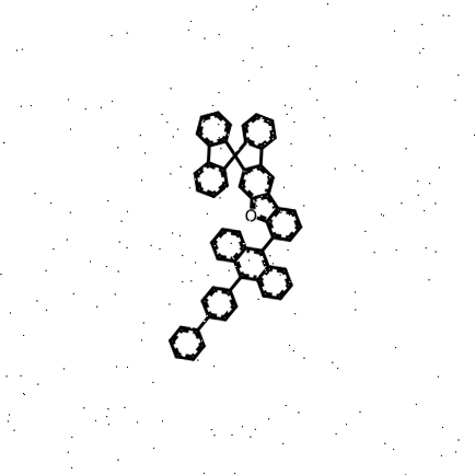 c1ccc(-c2ccc(-c3c4ccccc4c(-c4cccc5c4oc4cc6c(cc45)-c4ccccc4C64c5ccccc5-c5ccccc54)c4ccccc34)cc2)cc1